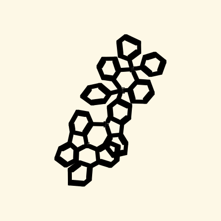 c1ccc(-c2ccccc2-n2c3ccccc3c3cccc(-n4c5ccccc5c5ccc([Si]6(c7ccccc7)c7ccccc7[Si](c7ccccc7)(c7ccccc7)c7ccccc76)cc54)c32)cc1